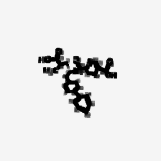 C[C@H](C[C@@H](Cc1ccc(-c2ccccc2)cc1)NC(=O)c1ccc(C(=O)O)cn1)C(=O)O